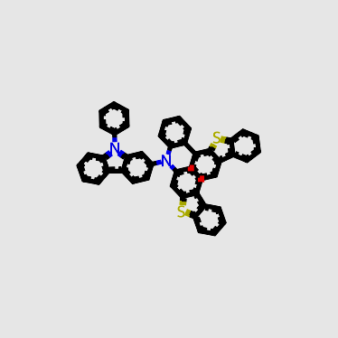 c1ccc(-n2c3ccccc3c3ccc(N(c4ccc5c(c4)sc4ccccc45)c4ccccc4-c4cccc5c4sc4ccccc45)cc32)cc1